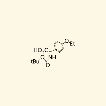 CCOc1ccc(C(NC(=O)OC(C)(C)C)C(=O)O)cc1